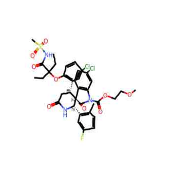 CCC(CC)(Oc1ccc(Cl)cc1[C@H]1CC(=O)N[C@@H](c2cc(F)ccc2C)[C@]12C(=O)N(C(=O)OCCOC)c1cc(Cl)ccc12)C(=O)NS(C)(=O)=O